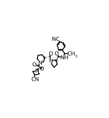 CC(NC(=O)[C@H]1CCCN1C(=O)[C@H]1CCCN(S(=O)(=O)N2CC(C#N)C2)C1)c1ccc(C#N)cc1